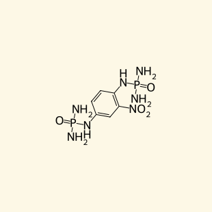 NP(N)(=O)Nc1ccc(NP(N)(N)=O)c([N+](=O)[O-])c1